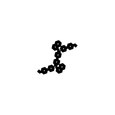 C=Cc1ccc(-c2ccc(N(c3ccc(-c4ccc(N(c5ccc(-c6ccc(C=C)cc6)cc5)c5cccc6ccccc56)cc4)cc3)c3cccc4ccccc34)cc2)cc1